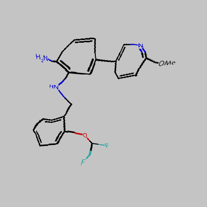 COc1ccc(-c2ccc(N)c(NCc3ccccc3OC(F)F)c2)cn1